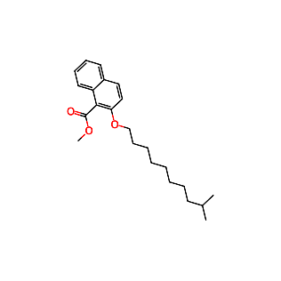 COC(=O)c1c(OCCCCCCCCC(C)C)ccc2ccccc12